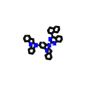 c1ccc2c(-c3nc(-n4c5ccc(-n6c7ccccc7n7c8ccccc8cc67)cc5n5c6ccccc6cc45)nc4ccccc34)cccc2c1